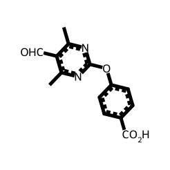 Cc1nc(Oc2ccc(C(=O)O)cc2)nc(C)c1C=O